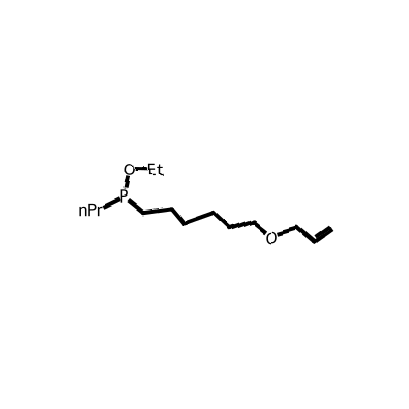 C=CCOCCCCCCP(CCC)OCC